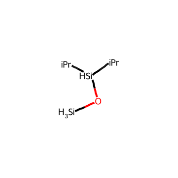 CC(C)[SiH](O[SiH3])C(C)C